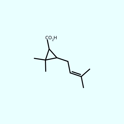 CC(C)=CCC1C(C(=O)O)C1(C)C